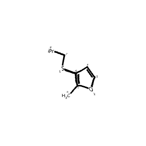 Cc1occc1SCC(C)C